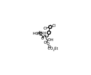 CCOC(=O)OCOC(=O)[C@H](O)CN(Cc1ccc(-c2cc(Cl)ccc2Cl)cc1)NC(=O)c1cn(O)nn1